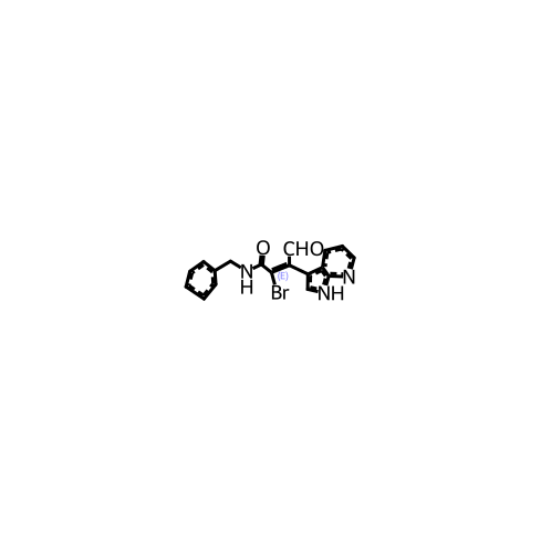 O=C/C(=C(/Br)C(=O)NCc1ccccc1)c1c[nH]c2ncccc12